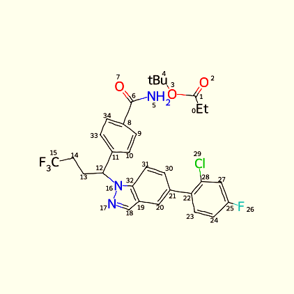 CCC(=O)OC(C)(C)C.NC(=O)c1ccc(C(CCC(F)(F)F)n2ncc3cc(-c4ccc(F)cc4Cl)ccc32)cc1